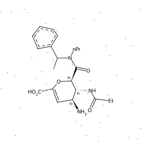 CCCN(C(=O)[C@@H]1OC(C(=O)O)=C[C@H](N)[C@H]1NC(=O)CC)C(C)c1ccccc1